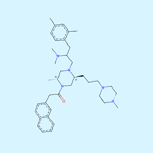 Cc1ccc(CC(CN2C[C@@H](C)N(C(=O)Cc3ccc4ccccc4c3)C[C@@H]2CCCN2CCN(C)CC2)N(C)C)c(C)c1